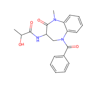 CC(O)C(=O)NC1CN(C(=O)c2ccccc2)c2ccccc2N(C)C1=O